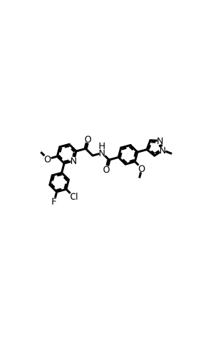 COc1cc(C(=O)NCC(=O)c2ccc(OC)c(-c3ccc(F)c(Cl)c3)n2)ccc1-c1cnn(C)c1